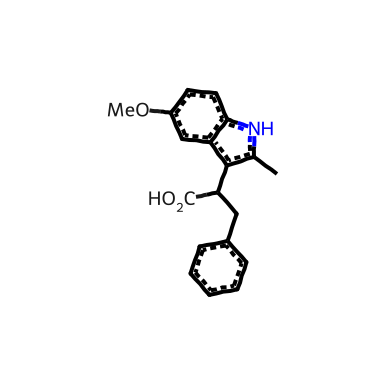 COc1ccc2[nH]c(C)c(C(Cc3ccccc3)C(=O)O)c2c1